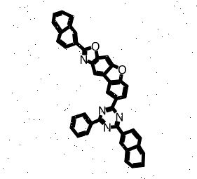 c1ccc(-c2nc(-c3ccc4ccccc4c3)nc(-c3ccc4oc5cc6oc(-c7ccc8ccccc8c7)nc6cc5c4c3)n2)cc1